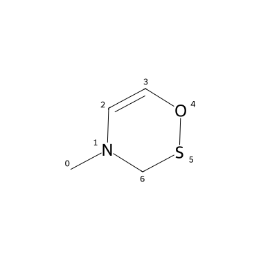 CN1C=COSC1